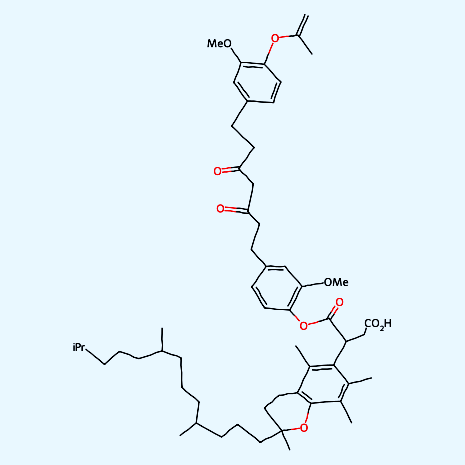 C=C(C)Oc1ccc(CCC(=O)CC(=O)CCc2ccc(OC(=O)C(CC(=O)O)c3c(C)c(C)c4c(c3C)CCC(C)(CCCC(C)CCCC(C)CCCC(C)C)O4)c(OC)c2)cc1OC